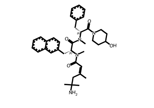 CC(=CC(=O)N(C)[C@H](Cc1ccc2ccccc2c1)C(=O)N(C)[C@H](Cc1ccccc1)C(=O)N1CCC(O)CC1)CC(C)(C)N